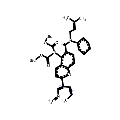 C=N/C=C(\C=C/C)c1ccc2c(N(C(=O)OC(C)(C)C)C(=O)OC(C)(C)C)c(C(=O)N(CC=C(C)C)c3ccccc3)ccc2n1